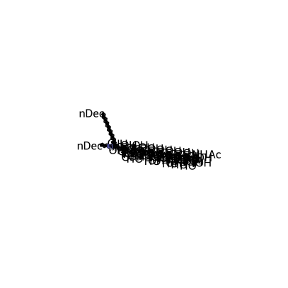 CCCCCCCCCCCCC/C=C/[C@@H](O)[C@H](CO[C@@H]1OC(CO)[C@@H](O[C@@H]2OC(CO)[C@H](O[C@@H]3OC(CO)[C@H](O)[C@H](O[C@H]4OC(CO)[C@H](O)[C@H](O[C@H]5OC(CO)[C@H](O)[C@H](O[C@H]6OC(CO)[C@H](O)[C@H](O[C@H]7OC(CO)[C@H](O)[C@H](O[C@H]8OC(CO)[C@H](O)[C@H](O[C@@H]9OC(CO)[C@H](O)[C@H](O)C9NC(C)=O)C8O)C7O)C6O)C5O)C4O)C3O)[C@H](O)C2O)[C@H](O)C1O)NC(=O)CCCCCCCCCCCCCCCCCCCCCCC